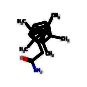 C[C]12[C]3(C)[C]4(C)[C]5(C)[C]1(C)[Fe]23451678[CH]2[CH]1[CH]6[C]7(CC(N)=O)[CH]28